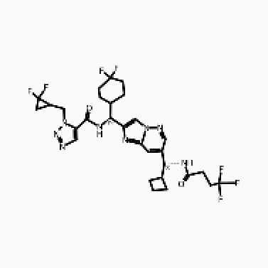 O=C(CCC(F)(F)F)N[C@@H](c1cnn2cc([C@@H](NC(=O)c3cnnn3CC3CC3(F)F)C3CCC(F)(F)CC3)nc2c1)C1CCC1